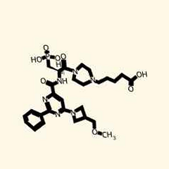 COCC1CN(c2cc(C(=O)N[C@@H](CP(=O)(O)O)C(=O)N3CCN(CCCCC(=O)O)CC3)nc(-c3ccccc3)n2)C1